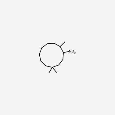 CC1CCCCCCC(C)(C)CCC1[N+](=O)[O-]